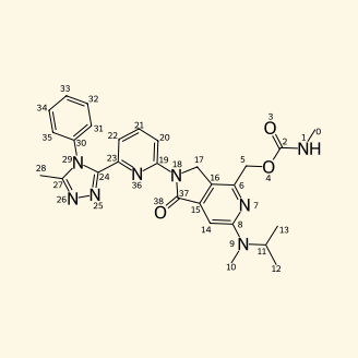 CNC(=O)OCc1nc(N(C)C(C)C)cc2c1CN(c1cccc(-c3nnc(C)n3-c3ccccc3)n1)C2=O